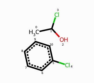 CC(O)Cl.Clc1ccccc1